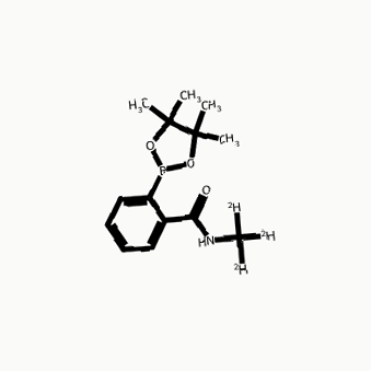 [2H]C([2H])([2H])NC(=O)c1ccccc1B1OC(C)(C)C(C)(C)O1